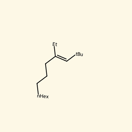 CCCCCCCCCC(=CC(C)(C)C)CC